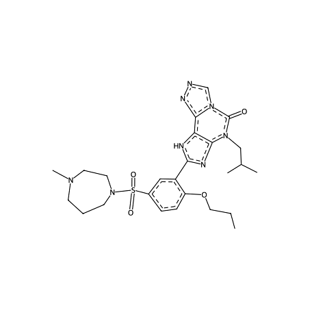 CCCOc1ccc(S(=O)(=O)N2CCCN(C)CC2)cc1-c1nc2c([nH]1)c1nncn1c(=O)n2CC(C)C